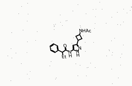 CCC(C(=O)Nc1cc(C2CC(NC(C)=O)C2)n[nH]1)c1ccccc1